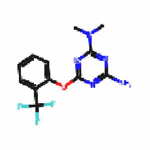 CN(C)c1nc(N)nc(Oc2ccccc2C(F)(F)F)n1